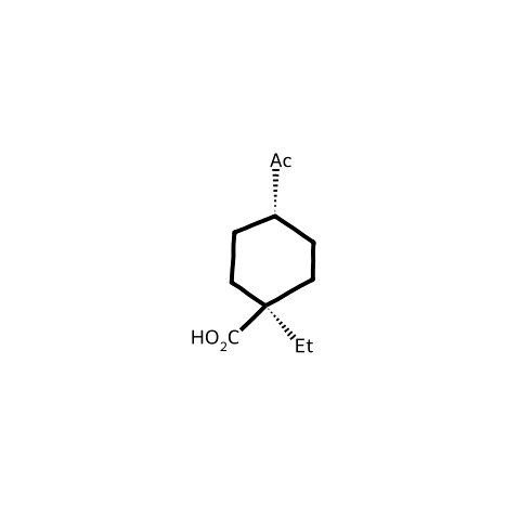 CC[C@]1(C(=O)O)CC[C@H](C(C)=O)CC1